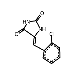 O=C1NC(=O)C(=Cc2ccccc2Cl)N1